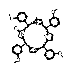 COc1cccc(-c2c3nc(c(-c4cccc(OC)c4)c4ccc([nH]4)c(-c4cccc(OC)c4)c4nc(c(-c5cccc(OC)c5)c5ccc2[nH]5)CC4=O)C=C3)c1